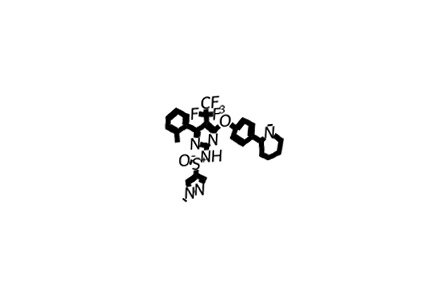 Cc1ccccc1-c1nc(N[S+]([O-])c2cnn(C)c2)nc(Oc2ccc(C3CCCCN3C)cc2)c1C(F)(F)C(F)(F)F